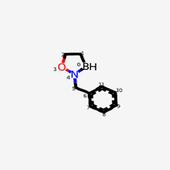 B1CCON1Cc1ccccc1